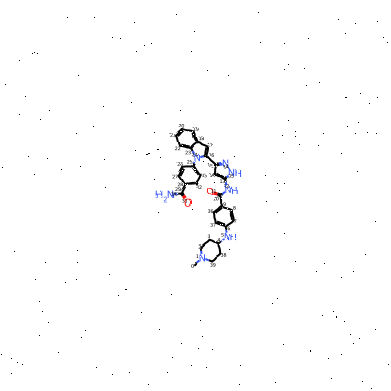 CN1CCC(Nc2ccc(C(=O)Nc3cc(-c4cc5ccccc5n4-c4ccc(C(N)=O)cc4)n[nH]3)cc2)CC1